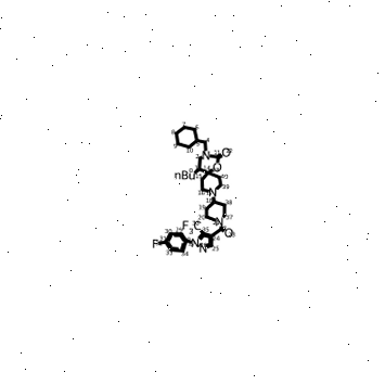 CCCCC1CN(CC2CCCCC2)C(=O)OC12CCN(C1CCN(C(=O)c3cnn(-c4ccc(F)cc4)c3C(F)(F)F)CC1)CC2